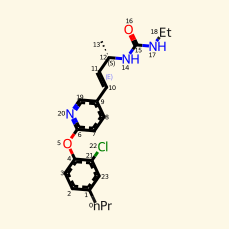 CCCc1ccc(Oc2ccc(/C=C/[C@H](C)NC(=O)NCC)cn2)c(Cl)c1